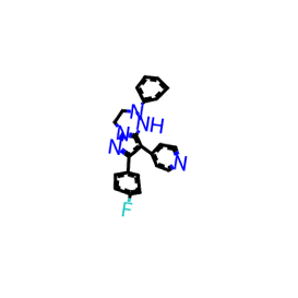 Fc1ccc(-c2nn3c(c2-c2ccncc2)NN(c2ccccc2)CC3)cc1